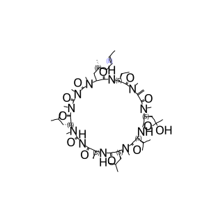 C=C1C(=O)N(C)[C@@H](CC(C)(C)O)C(=O)N[C@@H](C(C)C)C(=O)N(C)[C@@H](CC(C)C)C(=O)N[C@@H](C)C(=O)NC(=O)N(C)[C@H](CC(C)C)C(=O)N(C)C(=O)N(C)C(=O)N(C)C(C[C@H](C)C/C=C/C)C(=O)N[C@@H](CC)C(=O)N1C